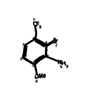 COc1ccc(C(F)(F)F)c(Br)c1N